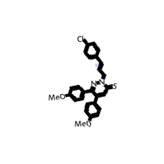 COc1ccc(-c2cc(=S)n(C/C=C/c3ccc(Cl)cc3)nc2-c2ccc(OC)cc2)cc1